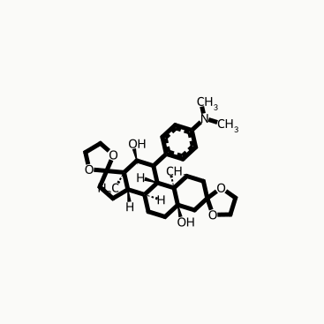 CN(C)c1ccc(C2[C@H](O)[C@@]3(C)[C@@H](CCC34OCCO4)[C@@H]3CC[C@@]4(O)CC5(CC[C@]4(C)[C@@H]23)OCCO5)cc1